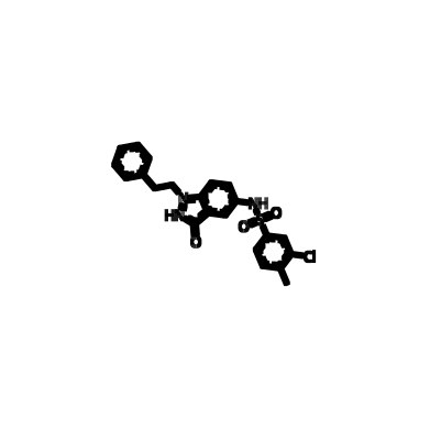 Cc1ccc(S(=O)(=O)Nc2ccc3c(c2)c(=O)[nH]n3CCc2ccccc2)cc1Cl